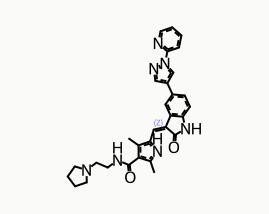 Cc1[nH]c(/C=C2\C(=O)Nc3ccc(-c4cnn(-c5ccccn5)c4)cc32)c(C)c1C(=O)NCCN1CCCC1